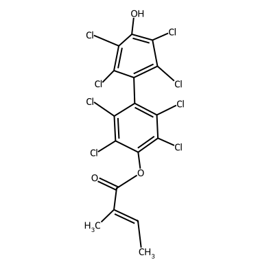 CC=C(C)C(=O)Oc1c(Cl)c(Cl)c(-c2c(Cl)c(Cl)c(O)c(Cl)c2Cl)c(Cl)c1Cl